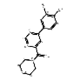 O=C(c1cc(-c2ccc(Cl)c(Cl)c2)ncn1)N1CCNCC1